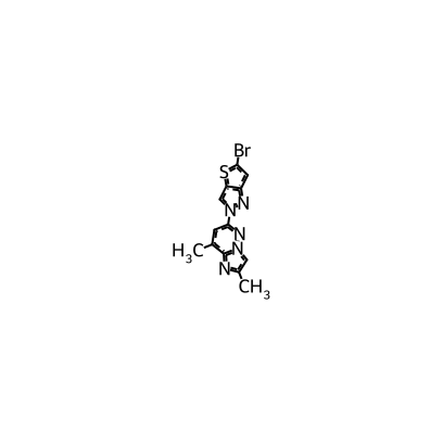 Cc1cn2nc(-n3cc4sc(Br)cc4n3)cc(C)c2n1